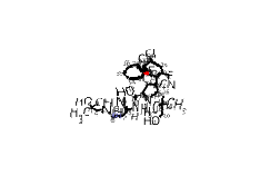 CC(C)(O)CN/C=C\C(=N)NC(=O)[C@@H]1N[C@@H](CC(C)(C)CO)[C@](C#N)(c2ccc(Cl)cc2F)[C@H]1c1cccc(Cl)c1F